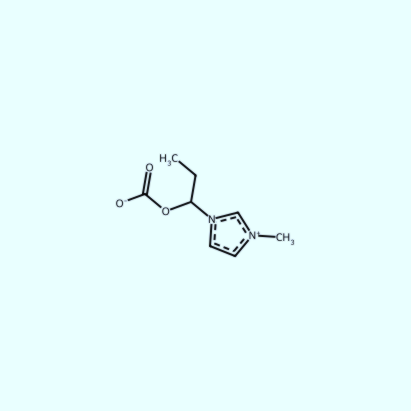 CCC(OC(=O)[O-])n1cc[n+](C)c1